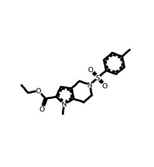 CCOC(=O)c1cc2c(n1C)CCN(S(=O)(=O)c1ccc(C)cc1)C2